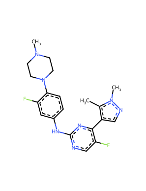 Cc1c(-c2nc(Nc3ccc(N4CCN(C)CC4)c(F)c3)ncc2F)cnn1C